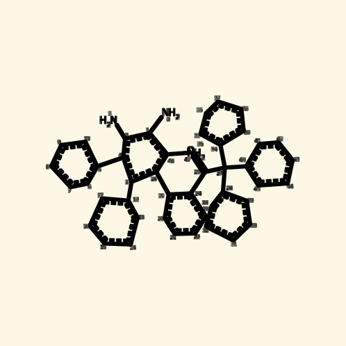 Nc1c(N)c(-c2ccccc2)c(-c2ccccc2)c(-c2ccccc2C(=O)C(c2ccccc2)(c2ccccc2)c2ccccc2)c1N